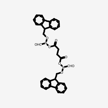 O=CN(OCC1c2ccccc2-c2ccccc21)OC(=O)CCC(=O)ON(C=O)OCC1c2ccccc2-c2ccccc21